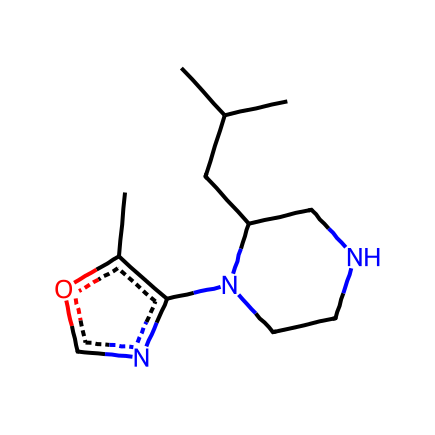 Cc1ocnc1N1CCNCC1CC(C)C